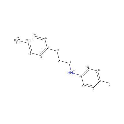 Cc1ccc(NCCCc2ccc(C(F)(F)F)cc2)cc1